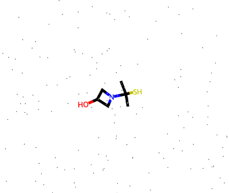 CC(C)(S)N1CC(O)C1